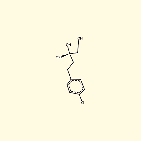 CC(C)(C)[C@@](O)(CO)CCc1ccc(Cl)cc1